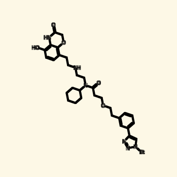 CCn1cc(-c2cccc(CCOCCC(=O)N(CCNCCc3ccc(O)c4c3OCC(=O)N4)C3CCCCC3)c2)nn1